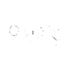 C/C(=C\C(C(C)C)N(C)C(=O)C(NC(=O)C1(N(C)C)Cc2ccccc2C1)C(C)(C)C)C(=O)O